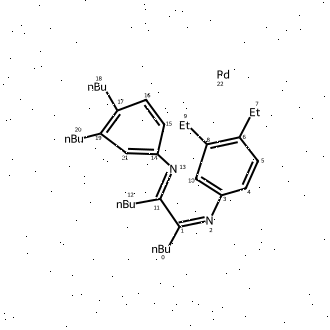 CCCCC(=Nc1ccc(CC)c(CC)c1)C(CCCC)=Nc1ccc(CCCC)c(CCCC)c1.[Pd]